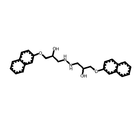 OC(CNNCC(O)COc1ccc2ccccc2c1)COc1ccc2ccccc2c1